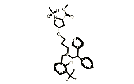 COC(=O)[C@@H]1C[C@H](OCCCN(Cc2cccc(C(F)(F)F)c2Cl)CC(c2ccccc2)c2ccccc2)CN1S(C)(=O)=O